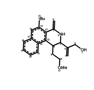 C=C1NC(C(=C)CO)C(CCOC)c2c1c(C(C)(C)C)cc1ccccc21